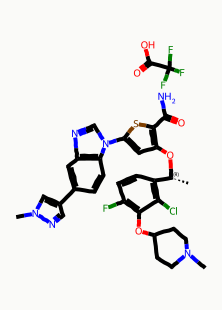 C[C@@H](Oc1cc(-n2cnc3cc(-c4cnn(C)c4)ccc32)sc1C(N)=O)c1ccc(F)c(OC2CCN(C)CC2)c1Cl.O=C(O)C(F)(F)F